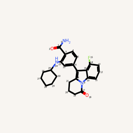 NC(=O)c1ccc(-c2c3n(c4cccc(F)c24)C(=O)CCC3)cc1NC1CCCCC1